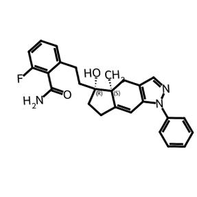 C[C@]12Cc3cnn(-c4ccccc4)c3C=C1CC[C@@]2(O)CCc1cccc(F)c1C(N)=O